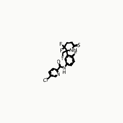 O=C(Nc1ccc(F)c(C2(CF)NC(=S)CCC2(F)F)c1)c1ccc(Cl)cn1